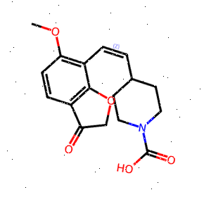 COc1ccc2c(c1/C=C\C1CCN(C(=O)O)CC1)OCC2=O